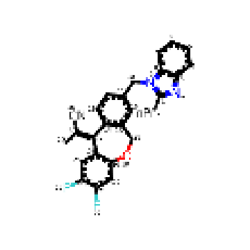 CCCc1nc2ccccc2n1Cc1ccc2c(c1)COc1cc(F)c(F)cc1/C2=C(\C)C#N